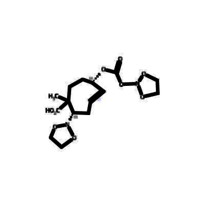 CC1(C(=O)O)CC[C@H](OC(=O)ON2OCCO2)/C=C/C[C@@H]1N1OCCO1